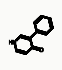 O=c1cc[nH]cc1-c1ccccc1